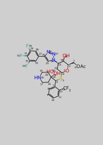 CC(=O)OC[C@H]1O[C@@H](S[C@@H](c2ccccc2C(F)(F)F)C2(O)CCNCC2)[C@H](O)[C@@H](n2cc(-c3cc(F)c(F)c(F)c3)nn2)[C@H]1O